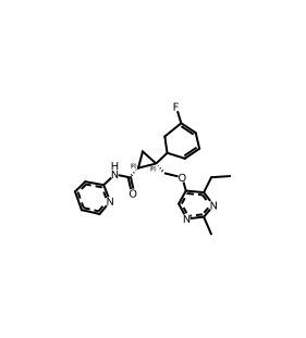 CCc1nc(C)ncc1OC[C@@]1(C2C=CC=C(F)C2)C[C@H]1C(=O)Nc1ccccn1